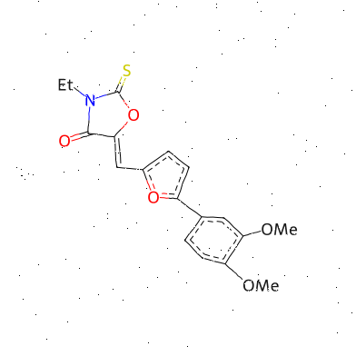 CCN1C(=O)C(=Cc2ccc(-c3ccc(OC)c(OC)c3)o2)OC1=S